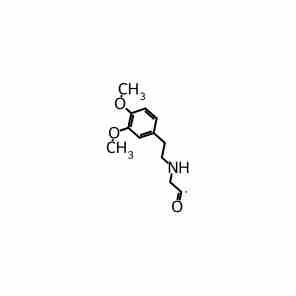 COc1ccc(CCNC[C]=O)cc1OC